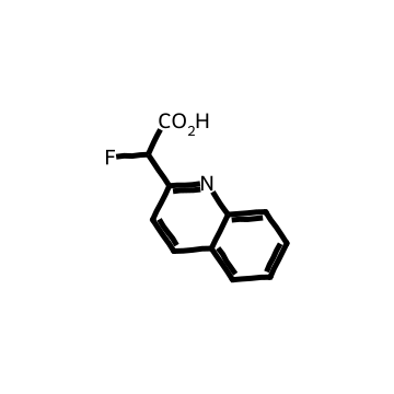 O=C(O)C(F)c1ccc2ccccc2n1